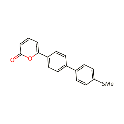 CSc1ccc(-c2ccc(-c3cccc(=O)o3)cc2)cc1